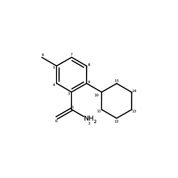 C=C(N)c1cc(C)ccc1C1CCCCC1